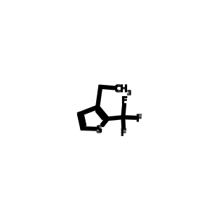 CCc1ccsc1C(F)(F)F